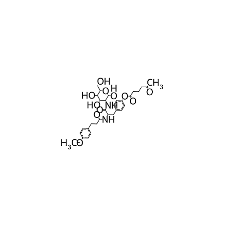 COc1ccc(CCC(=O)NC(Cc2ccc(OC(=O)CCCC(C)=O)cc2)C(=O)NC2C(O)OC(CO)C(O)C2O)cc1